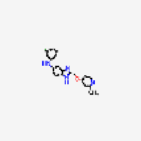 Cc1cc(OCc2nc3cc(Nc4cccc(F)c4)ccc3[nH]2)ccn1